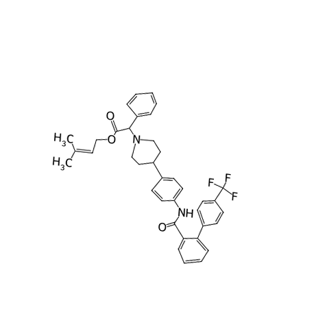 CC(C)=CCOC(=O)C(c1ccccc1)N1CCC(c2ccc(NC(=O)c3ccccc3-c3ccc(C(F)(F)F)cc3)cc2)CC1